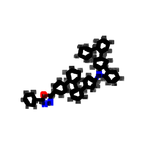 c1ccc(-c2nnc(-c3ccc(-c4ccccc4-c4ccccc4-c4ccc(-n5c6ccccc6c6cc(-c7ccccc7-c7ccccc7)ccc65)cc4)cc3)o2)cc1